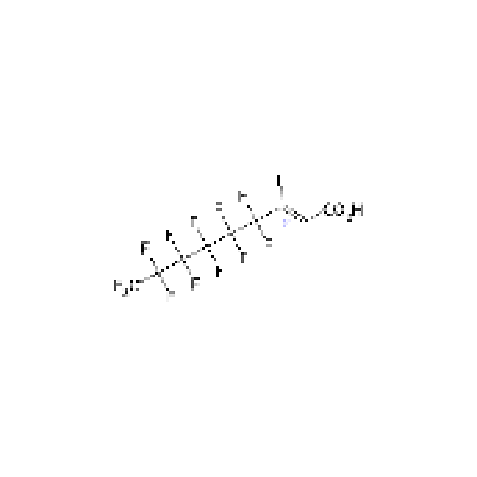 O=C(O)/C=C(\F)C(F)(F)C(F)(F)C(F)(F)C(F)(F)C(F)(F)C(F)(F)F